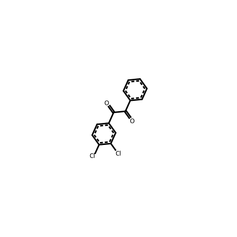 O=C(C(=O)c1ccc(Cl)c(Cl)c1)c1ccccc1